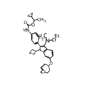 CCON(C)c1c(-c2ccc(NC(=O)OC(C)C3CC3)cc2)n(C2CCC2)c2cc(OC3CCOCC3)ccc12